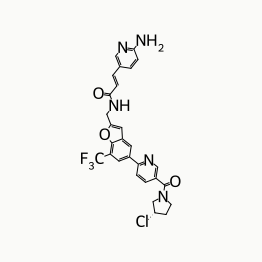 Nc1ccc(/C=C/C(=O)NCc2cc3cc(-c4ccc(C(=O)N5CC[C@H](Cl)C5)cn4)cc(C(F)(F)F)c3o2)cn1